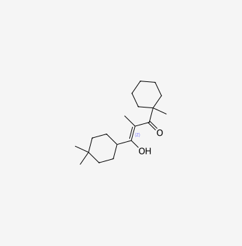 C/C(C(=O)C1(C)CCCCC1)=C(/O)C1CCC(C)(C)CC1